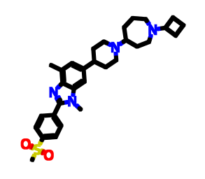 Cc1cc(C2CCN(C3CCCN(C4CCC4)CC3)CC2)cc2c1nc(-c1ccc(S(C)(=O)=O)cc1)n2C